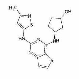 Cc1cc(Nc2nc(N[C@H]3CC[C@H](O)C3)c3sccc3n2)sn1